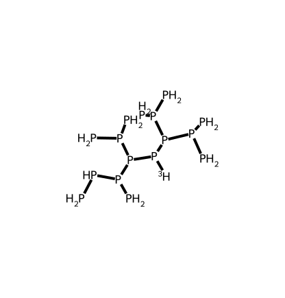 [3H]P(P(P(P)P)P(P)P)P(P(P)P)P(P)PP